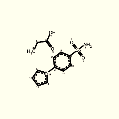 CCC(=O)O.NS(=O)(=O)c1ccc(-n2cccc2)cc1